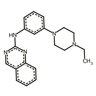 CCN1CCN(c2cccc(Nc3ncc4ccccc4n3)c2)CC1